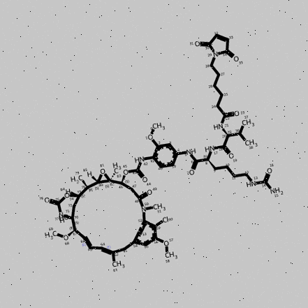 COc1cc(NC(=O)[C@H](CCCCNC(N)=O)NC(=O)[C@@H](NC(=O)CCCCCN2C(=O)C=CC2=O)C(C)C)ccc1NC(=O)O[C@H]1CC(=O)N(C)c2cc(cc(OC)c2Cl)C/C(C)=C/C=C/[C@@H](OC)[C@@]2(O)C[C@H](OC(=O)N2)[C@@H](C)[C@@H]2O[C@@]12C